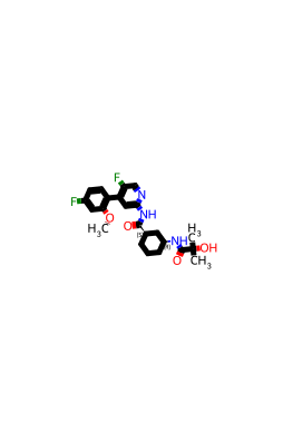 COc1cc(F)ccc1-c1cc(NC(=O)[C@H]2CCC[C@@H](NC(=O)C(C)(C)O)C2)ncc1F